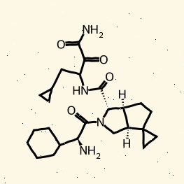 NC(=O)C(=O)C(CC1CC1)NC(=O)[C@@H]1[C@H]2CCC3(CC3)[C@H]2CN1C(=O)[C@@H](N)C1CCCCC1